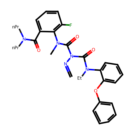 C=NN(C(=O)N(C)c1c(F)cccc1C(=O)N(CCC)CCC)C(=O)N(CC)c1ccccc1Oc1ccccc1